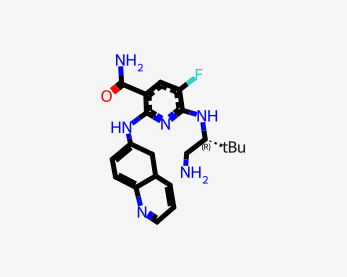 CC(C)(C)[C@H](CN)Nc1nc(NC2=CC=C3N=CC=CC3C2)c(C(N)=O)cc1F